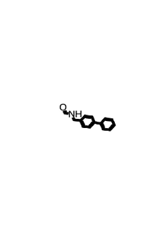 O=CNCc1ccc(-c2ccccc2)cc1